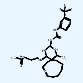 CC(=O)NCCNC1NC(NC(=O)Nc2cccc(C(F)(F)F)c2)NC(C)C12CCCCCCCCC2